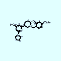 COc1ccc(CN2CCCC(c3cc(O)nc(N4CCCC4)n3)C2)c(O)c1